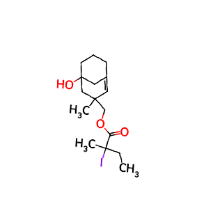 CCC(C)(I)C(=O)OCC1(C)C=C2CCCC(O)(C2)C1